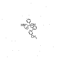 Cc1cccc(-c2ccccc2CC(O)(c2ccccc2)C2CNCCO2)c1